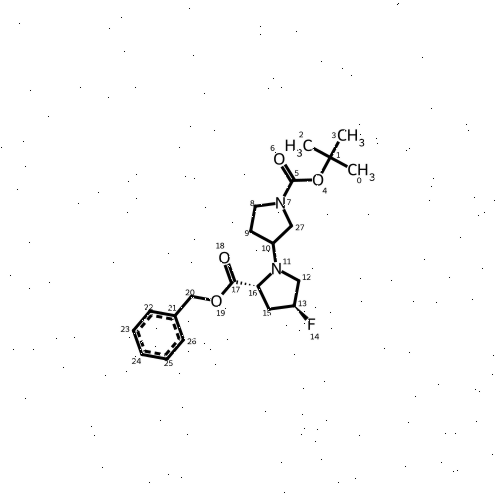 CC(C)(C)OC(=O)N1CCC(N2C[C@@H](F)C[C@@H]2C(=O)OCc2ccccc2)C1